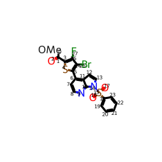 COC(=O)c1sc(-c2ccnc3c2ccn3S(=O)(=O)c2ccccc2)c(Br)c1F